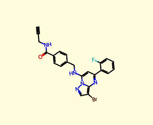 C#CCNC(=O)c1ccc(CNc2cc(-c3ccccc3F)nc3c(Br)cnn23)cc1